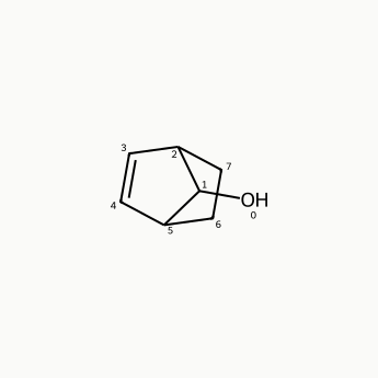 OC1C2C=CC1CC2